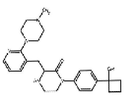 CN1CCN(c2ncccc2CC2NCCN(c3ccc(C4(O)CCC4)cc3)C2=O)CC1